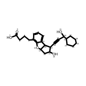 O=C(O)CCCc1cccc2c1OC1CC(O)C(C#CC(O)C3CCCCC3)C21